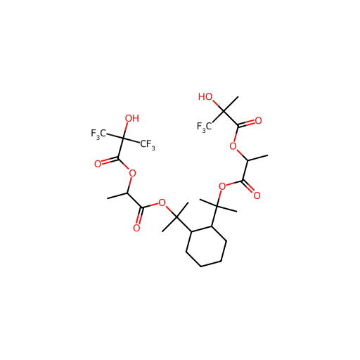 CC(OC(=O)C(C)(O)C(F)(F)F)C(=O)OC(C)(C)C1CCCCC1C(C)(C)OC(=O)C(C)OC(=O)C(O)(C(F)(F)F)C(F)(F)F